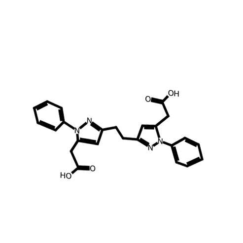 O=C(O)Cc1cc(CCc2cc(CC(=O)O)n(-c3ccccc3)n2)nn1-c1ccccc1